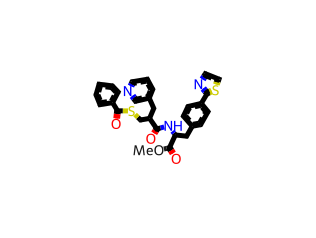 COC(=O)C(Cc1ccc(-c2nccs2)cc1)NC(=O)C(CSC(=O)c1ccccc1)Cc1cccnc1